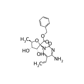 C=Cc1cn([C@]2(C(=O)OCc3ccccc3)O[C@H](C)[C@@H](O)[C@H]2O)c(=O)nc1N